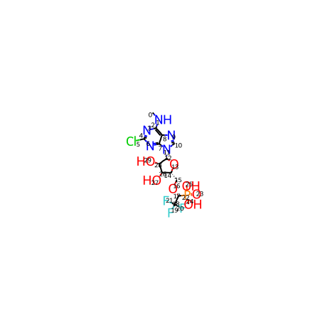 CNc1nc(Cl)nc2c1ncn2[C@@H]1O[C@H](CO[C@@H](C(F)(F)F)P(=O)(O)O)[C@@H](O)[C@H]1O